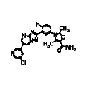 CC1=C(C(N)=O)OC(C)N1c1ccc(F)c(-c2nc3ncc(-c4cncc(Cl)c4)cn3n2)c1